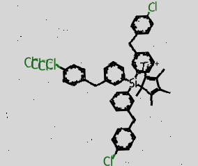 CC1=C(C)C(C)([Si](c2cccc(Cc3ccc(Cl)cc3)c2)(c2cccc(Cc3ccc(Cl)cc3)c2)c2cccc(Cc3ccc(Cl)cc3)c2)[C]([Ti+3])=C1C.[Cl-].[Cl-].[Cl-]